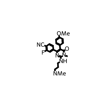 CNCCCNc1nc(-c2ccc(C#N)c(F)c2)c(-c2ccc(OC)cc2)c(=O)n1C